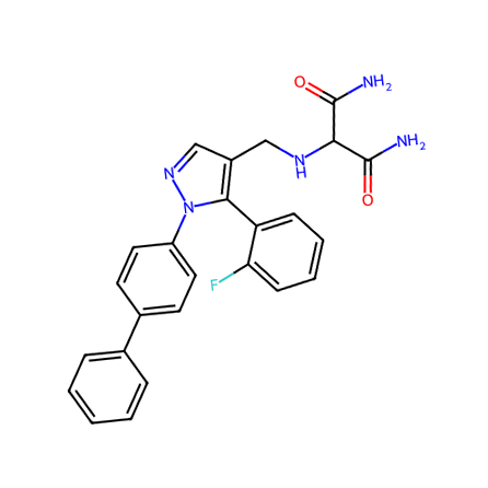 NC(=O)C(NCc1cnn(-c2ccc(-c3ccccc3)cc2)c1-c1ccccc1F)C(N)=O